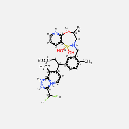 CCOC(=O)CC(c1ccc(C)c(CN2CC(CC)Oc3ncccc3S2(O)O)c1)c1ccn2c(C(F)F)nnc2c1C